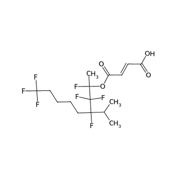 CC(C)C(F)(CCCCC(F)(F)F)C(F)(F)C(C)(F)OC(=O)C=CC(=O)O